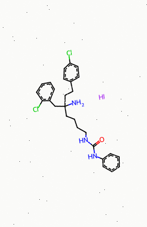 I.NC(CCCCNC(=O)Nc1ccccc1)(CCc1ccc(Cl)cc1)Cc1ccccc1Cl